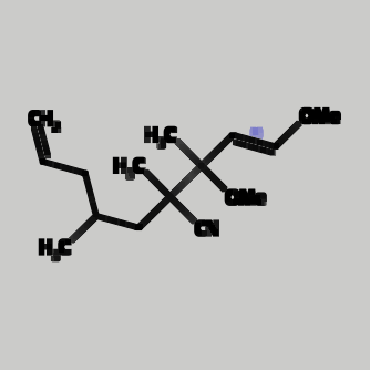 C=CCC(C)CC(C)(C#N)C(C)(/C=C/OC)OC